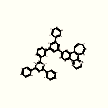 C1=Cc2c(c3nccnc3c3ccc(-c4cc(-c5ccccc5)cc(-c5cccc(-c6nc(-c7ccccc7)cc(-c7ccccc7)n6)c5)c4)cc23)C=CC1